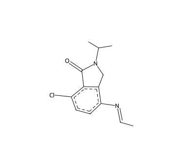 C/C=N/c1ccc(Cl)c2c1CN(C(C)C)C2=O